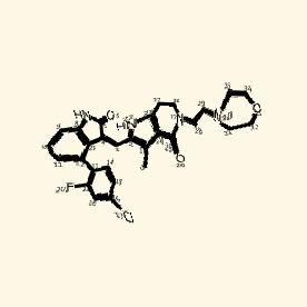 Cc1c(/C=C2\C(=O)Nc3cccc(-c4ccc(Cl)cc4F)c32)[nH]c2c1C(=O)N(CCN1CCOCC1)CC2